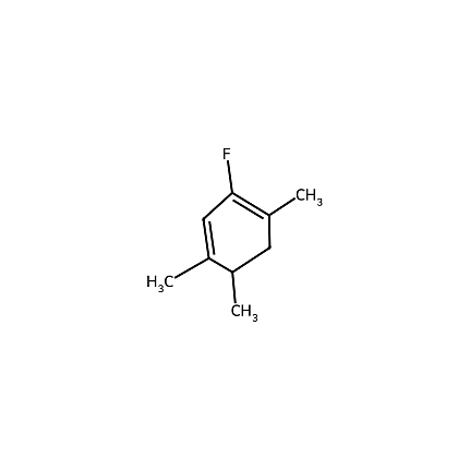 CC1=CC(F)=C(C)CC1C